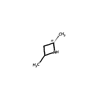 CC1C[C@H](C)N1